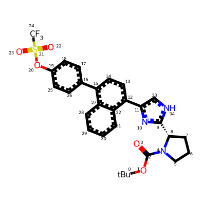 CC(C)(C)OC(=O)N1CCC[C@H]1c1nc(-c2ccc(-c3ccc(OS(=O)(=O)C(F)(F)F)cc3)c3ccccc23)c[nH]1